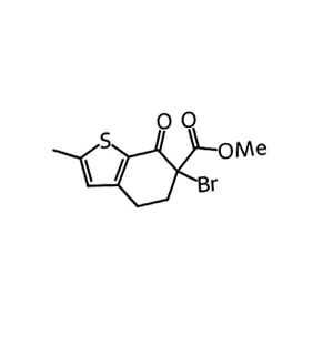 COC(=O)C1(Br)CCc2cc(C)sc2C1=O